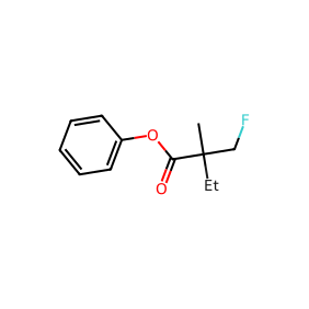 CCC(C)(CF)C(=O)Oc1ccccc1